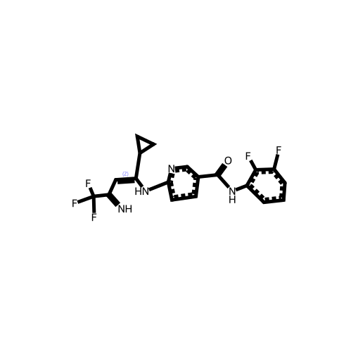 N=C(/C=C(\Nc1ccc(C(=O)Nc2cccc(F)c2F)cn1)C1CC1)C(F)(F)F